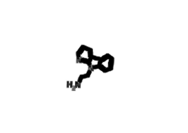 NCCn1c2ccccc2c2cccnc21